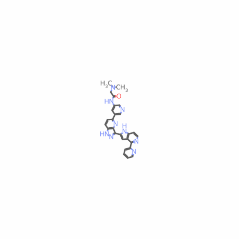 CN(C)CC(=O)Nc1cncc(-c2ccc3[nH]nc(-c4cc5c(-c6ccccn6)nccc5[nH]4)c3n2)c1